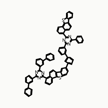 c1ccc(-c2cccc(-c3nc(-c4cccc(-c5ccccc5)c4)nc(-c4cccc5c4ccc4c6cc(-c7cccc(-c8cccc(-c9nc(-c%10ccccc%10)nc(-c%10cccc%11c%10ccc%10c%12ccccc%12sc%11%10)n9)c8)c7)ccc6sc54)n3)c2)cc1